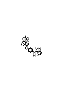 CC(=O)O[C@H]1COC2[C@@H](Oc3ccc(Nc4ncnc5ccsc45)cc3)CO[C@@H]21